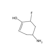 NC1CC=C(O)C(F)C1